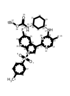 Cc1ccc(S(=O)(=O)n2cc(-c3ncc(F)c(N[C@H]4CCC[C@@H](NC(=O)OC(C)(C)C)C4)n3)c3cc(F)cnc32)cc1